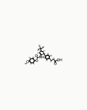 COc1ccc(OC(=O)NC2=CC(C(C)(C)C)=CC2c2ccc(CCC(=O)O)cc2)cc1